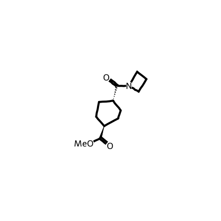 COC(=O)[C@H]1CC[C@H](C(=O)N2CCC2)CC1